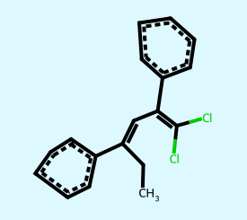 CCC(=CC(=C(Cl)Cl)c1ccccc1)c1ccccc1